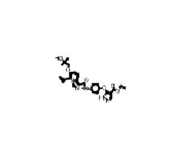 CCOC(=O)c1cn[nH]c1O[C@H]1CC[C@H](NC(=O)c2ncn3c(C4CC4)c(OCC(C)(C)O)ccc23)CC1